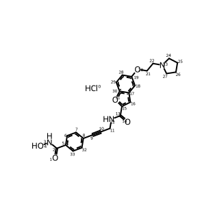 Cl.O=C(NO)c1ccc(C#CCNC(=O)c2cc3cc(OCCN4CCCC4)ccc3o2)cc1